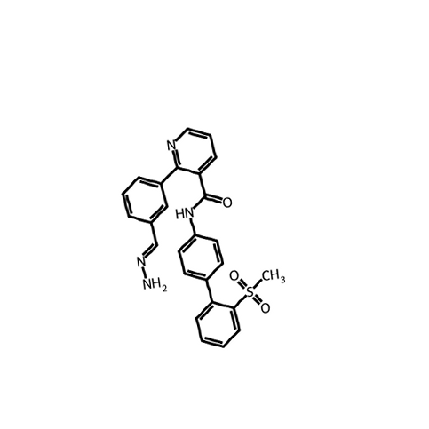 CS(=O)(=O)c1ccccc1-c1ccc(NC(=O)c2cccnc2-c2cccc(C=NN)c2)cc1